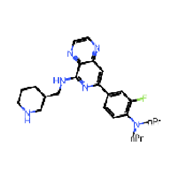 CCCN(CCC)c1ccc(-c2cc3nccnc3c(NC[C@@H]3CCCNC3)n2)cc1F